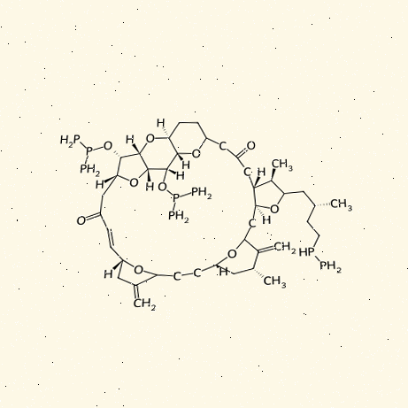 C=C1C[C@@H]2/C=C/C(=O)C[C@H]3O[C@H]4[C@@H](OP(P)P)[C@H]5OC(CC[C@@H]5O[C@H]4[C@H]3OP(P)P)CC(=O)C[C@H]3[C@H](CC4O[C@@H](CCC1O2)C[C@@H](C)C4=C)OC(C[C@H](C)CCPP)[C@@H]3C